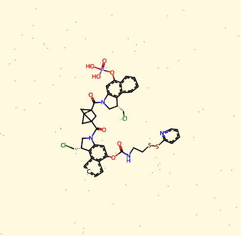 O=C(NCCSSc1ccccn1)Oc1cc2c(c3ccccc13)[C@H](CCl)CN2C(=O)C12CC3(C(=O)N4C[C@@H](CCl)c5c4cc(OP(=O)(O)O)c4ccccc54)CC13C2